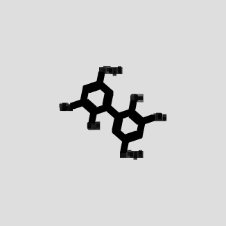 CCCCCCCc1cc(-c2cc(CCCCCCC)cc(C(C)(C)C)c2O)c(O)c(C(C)(C)C)c1